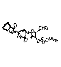 C=C1C(OSOOC)[C@@H](CC=O)O[C@H]1n1ccc(NC(=O)c2ccccc2)nc1=O